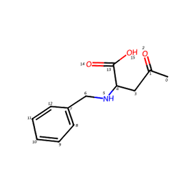 CC(=O)CC(NCc1ccccc1)C(=O)O